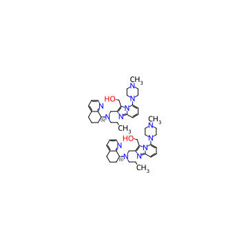 CCCN(Cc1nc2cccc(N3CCN(C)CC3)n2c1CO)[C@H]1CCCc2cccnc21.CCCN(Cc1nc2cccc(N3CCN(C)CC3)n2c1CO)[C@H]1CCCc2cccnc21